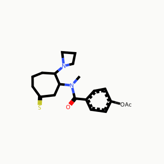 CC(=O)Oc1ccc(C(=O)N(C)C2CC(=S)CCCC2N2CCC2)cc1